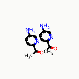 CC(=O)c1ccc(N)cn1.CC(=O)c1ccc(N)cn1